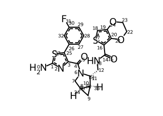 Nc1nc(C(=O)N2C[C@@H]3C[C@@H]3[C@H]2CNC(=O)c2scc3c2OCCO3)c(-c2cccc(F)c2)s1